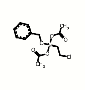 CC(=O)O[Si](CCCl)(OCc1ccccc1)OC(C)=O